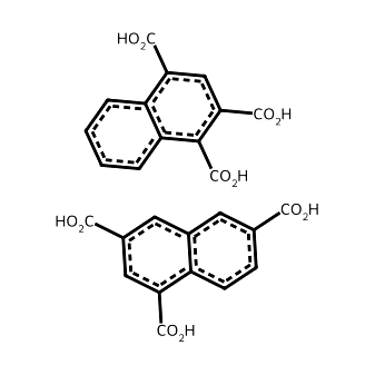 O=C(O)c1cc(C(=O)O)c2ccccc2c1C(=O)O.O=C(O)c1ccc2c(C(=O)O)cc(C(=O)O)cc2c1